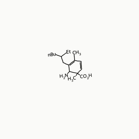 CCCCC(CC)CC1=C(C)C=CC(C)(C(=O)O)C1N